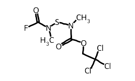 CN(SN(C)C(=O)OCC(Cl)(Cl)Cl)C(=O)F